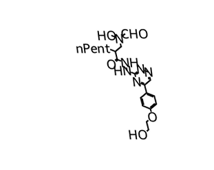 CCCCCC(CN(O)C=O)C(=O)NNc1nncc(-c2ccc(OCCO)cc2)n1